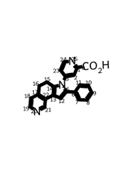 O=C(O)c1cc(-n2c(-c3ccccc3)cc3c2CCc2ccncc2-3)ccn1